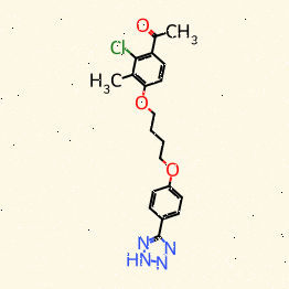 CC(=O)c1ccc(OCCCCOc2ccc(-c3nn[nH]n3)cc2)c(C)c1Cl